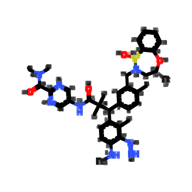 CCNc1ccc([C@H](c2ccc(C)c(CN3C[C@@H](CC)Oc4ccccc4[S+]3[O-])c2)C(C)(C)C(=O)Nc2cnc(C(=O)N(C)C)nc2)c(C)c1N=N